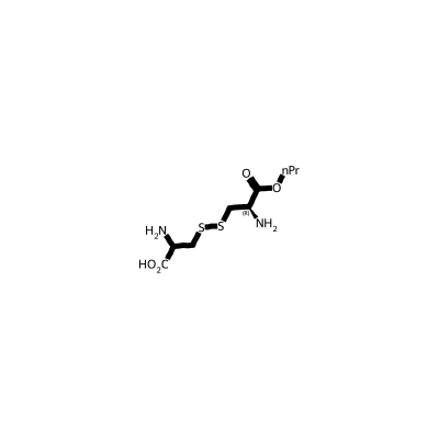 CCCOC(=O)[C@@H](N)CSSCC(N)C(=O)O